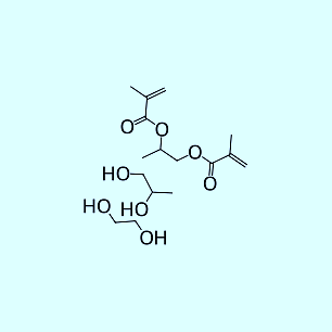 C=C(C)C(=O)OCC(C)OC(=O)C(=C)C.CC(O)CO.OCCO